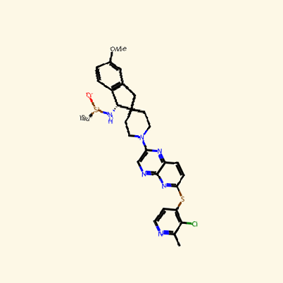 COc1ccc2c(c1)CC1(CCN(c3cnc4nc(Sc5ccnc(C)c5Cl)ccc4n3)CC1)[C@@H]2N[S@+]([O-])C(C)(C)C